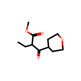 CCC(C(=O)OC)C(=O)C1CCOCC1